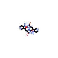 O=C1NC(=O)N(N2C(=O)NC(=O)/C2=C/c2c[nH]c3ccncc23)/C1=C\c1c[nH]c2ccncc12